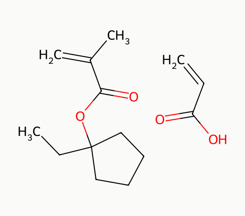 C=C(C)C(=O)OC1(CC)CCCC1.C=CC(=O)O